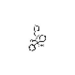 CN(CC1CCNC1)C(=O)C(O)(c1ccccc1)C1CCCCC1